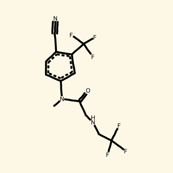 CN(C(=O)CNCC(F)(F)F)c1ccc(C#N)c(C(F)(F)F)c1